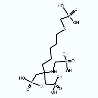 O=P(O)(O)CNCCCCCC(CP(=O)(O)O)(CP(=O)(O)O)NCP(=O)(O)O